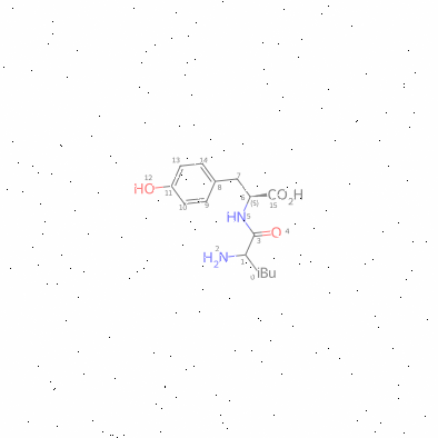 CCC(C)C(N)C(=O)N[C@@H](Cc1ccc(O)cc1)C(=O)O